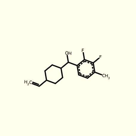 C=CC1CCC(C(O)c2ccc(C)c(F)c2F)CC1